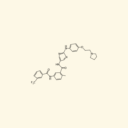 Cc1ccc(NC(=O)c2cccc(C(F)(F)F)c2)cc1C(=O)Nc1cnc(Nc2ccc(OCCN3CCCC3)cc2)nc1